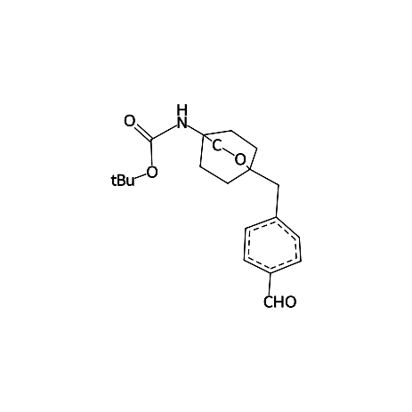 CC(C)(C)OC(=O)NC12CCC(Cc3ccc(C=O)cc3)(CC1)OC2